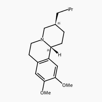 COc1cc2c(cc1OC)[C@H]1CC[C@H](CC(C)C)CN1CC2